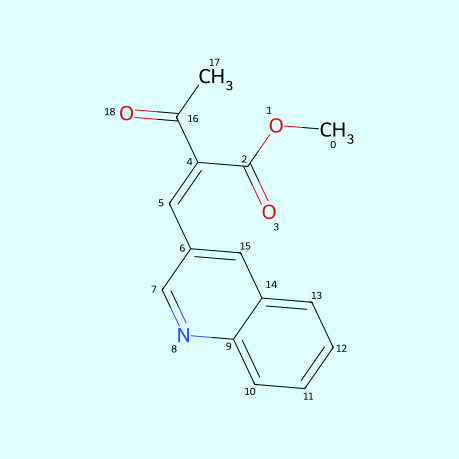 COC(=O)C(=Cc1cnc2ccccc2c1)C(C)=O